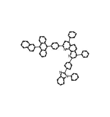 c1ccc(-c2cc(-c3ccc(-c4c5ccccc5c(-c5ccc6ccccc6c5)c5ccccc45)cc3)nc3c2ccc2c(-c4ccccc4)cc(-c4ccc(-c5nc6ccccc6n5-c5ccccc5)cc4)nc23)cc1